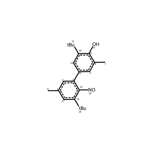 Cc1cc(-c2cc(C)c(O)c(C(C)(C)C)c2)c(N=O)c(C(C)(C)C)c1